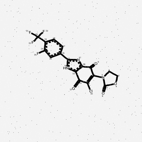 O=C1C(N2CCOC2=O)=C(Cl)C(=O)c2[nH]c(-c3ccc(C(F)(F)F)c(F)c3)nc21